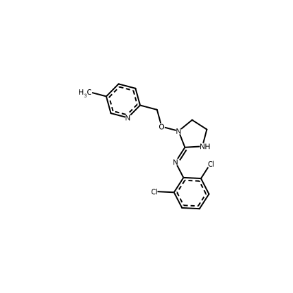 Cc1ccc(CON2CCN/C2=N\c2c(Cl)cccc2Cl)nc1